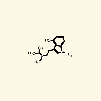 CC(C)N(C)CCc1cn(C)c2cccc(O)c12